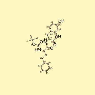 CC(C)(C)OC(=O)NC(CCc1ccccc1)C(=O)N[C@@H](Cc1ccc(O)cc1)C(=O)O